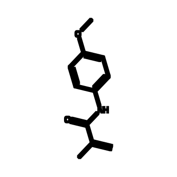 C=C(C)C(=O)Nc1ccc(OC)cc1